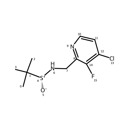 CC(C)(C)[S@@+]([O-])NCc1nccc(Cl)c1F